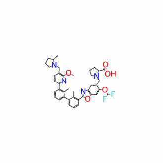 COc1nc(-c2cccc(-c3cccc(-c4nc5cc(CN6CCC[C@H]6C(=O)O)c(OC(F)F)cc5o4)c3C)c2C)ccc1CN1CCC[C@H]1C